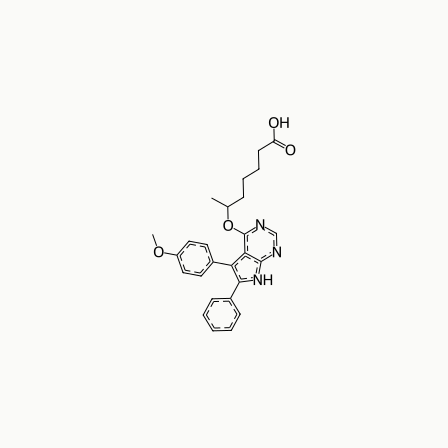 COc1ccc(-c2c(-c3ccccc3)[nH]c3ncnc(OC(C)CCCCC(=O)O)c23)cc1